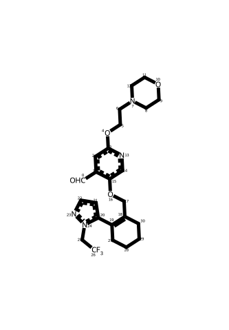 O=Cc1cc(OCCN2CCOCC2)ncc1OCC1=C(c2ccnn2CC(F)(F)F)CCCC1